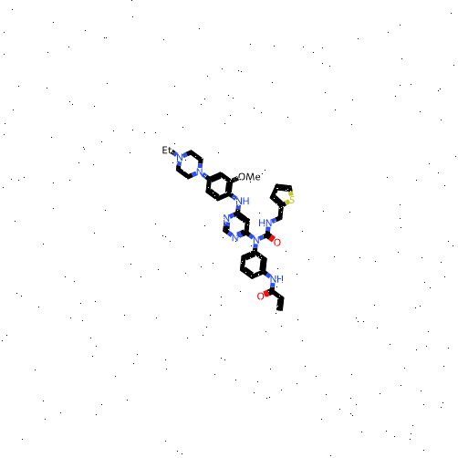 C=CC(=O)Nc1cccc(N(C(=O)NCc2cccs2)c2cc(Nc3ccc(N4CCN(CC)CC4)cc3OC)ncn2)c1